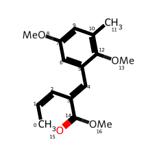 C/C=C\C(=C/c1cc(OC)cc(C)c1OC)C(=O)OC